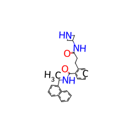 CC(NC(=O)c1ccccc1CCC(=O)NC1CNC1)c1cccc2ccccc12